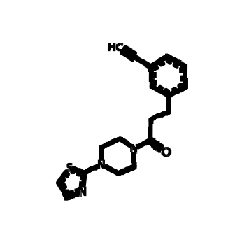 C#Cc1cccc(CCC(=O)N2CCN(c3nccs3)CC2)c1